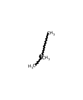 CCCCCCCCCCCCCCCCCCCN1C=CN(CCCCCCCC)C1C